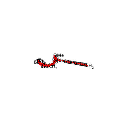 C=C=C=C=C=C=C=C=C=C=C=C=C=C=C=C=C=C=C=C=C=C=C=C=C=C=C=C=C=C=C=C=C=C=C=C(N1C(=O)c2ccc(OC)cc2C1=O)N1C(=O)c2ccc(Oc3ccc(C(C)(C)c4ccc(Oc5ccc6c(c5)C(=O)N(c5c(CC)cc(Cc7cc(CC)c(N8C(=O)C=CC8=O)c(CC)c7)cc5CC)C6=O)cc4)cc3)cc2C1=O